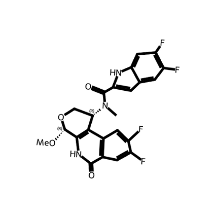 CO[C@@H]1OC[C@H](N(C)C(=O)c2cc3cc(F)c(F)cc3[nH]2)c2c1[nH]c(=O)c1cc(F)c(F)cc21